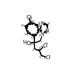 OC(CC(Cl)CCl)(Cn1cncn1)c1ccc(Cl)cc1